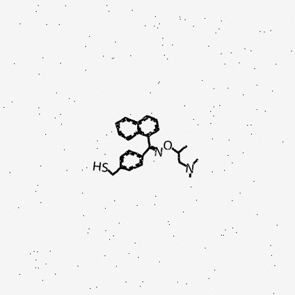 CC(CN(C)C)O/N=C(/c1ccc(CS)cc1)c1cccc2ccccc12